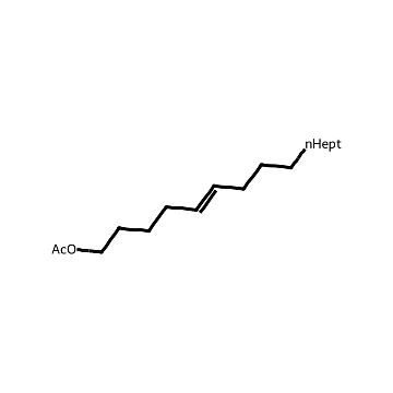 CCCCCCCCCCC=CCCCCOC(C)=O